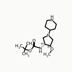 CO[C@@H]1CN(C2CCNCC2)C[C@H]1NC(=O)OC(C)(C)C